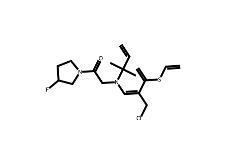 C=CSC(=C)/C(=C\N(CC(=O)N1CCC(F)C1)C(C)(C)C=C)CCl